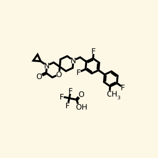 Cc1cc(-c2cc(F)c(CN3CCC4(CC3)CN(C3CC3)C(=O)CO4)c(F)c2)ccc1F.O=C(O)C(F)(F)F